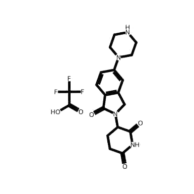 O=C(O)C(F)(F)F.O=C1CCC(N2Cc3cc(N4CCNCC4)ccc3C2=O)C(=O)N1